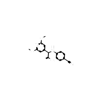 COc1cc(C(Nc2ccc(C#N)cc2)C(=O)O)cc(OC)n1